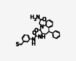 NC(=O)CN1C(=O)C(NC(=O)Nc2cccc(C=S)c2)CC(c2ccccc2)c2ccccc21